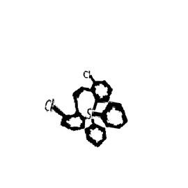 Clc1cccc2c1C=Cc1c(Cl)cccc1[Si]2(c1ccccc1)c1ccccc1